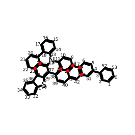 c1ccc(-c2ccc(-c3ccc(N(c4ccccc4-c4ccccc4)c4ccc5c(sc6ccccc65)c4-c4ccc5ccccc5c4)cc3)cc2)cc1